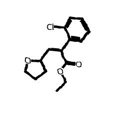 CCOC(=O)C(CC1CCCO1)c1ccccc1Cl